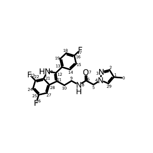 Cc1cnn(CC(=O)NCCc2c(-c3ccc(F)cc3)[nH]c3c(F)cc(F)cc23)c1